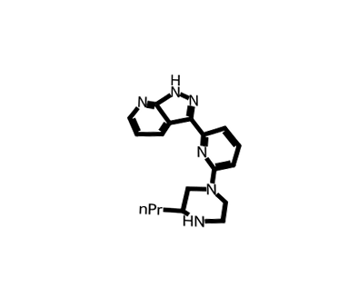 CCCC1CN(c2cccc(-c3n[nH]c4ncccc34)n2)CCN1